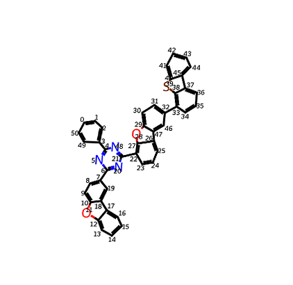 c1ccc(-c2nc(-c3ccc4oc5ccccc5c4c3)nc(-c3cccc4c3oc3ccc(-c5cccc6c5sc5ccccc56)cc34)n2)cc1